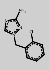 Nc1ncn(Cc2ccccc2Cl)n1